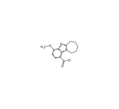 COc1ccc(C(=O)Cl)c2c3c(oc12)CCCCC3